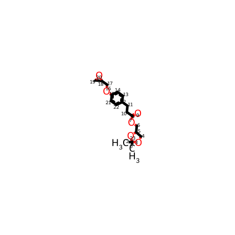 CC1(C)OCC(COC(=O)CCc2ccc(OCC3CO3)cc2)O1